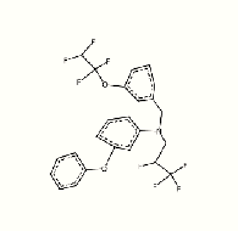 FC(CN(Cc1cccc(OC(F)(F)C(F)F)c1)c1cccc(Oc2ccccc2)c1)C(F)(F)F